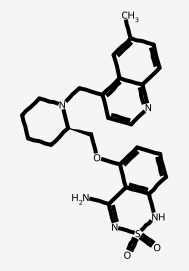 Cc1ccc2nccc(CN3CCCC[C@@H]3COc3cccc4c3C(N)=NS(=O)(=O)N4)c2c1